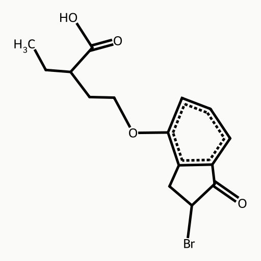 CCC(CCOc1cccc2c1CC(Br)C2=O)C(=O)O